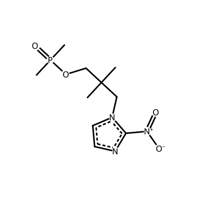 CC(C)(COP(C)(C)=O)Cn1ccnc1[N+](=O)[O-]